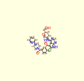 O=C(c1cc(C(=O)N2CCN(c3ccccn3)CC2)ccc1Cl)c1c[nH]c2ncnc(N[C@@H]3CC[C@@H](CO)OC3)c12